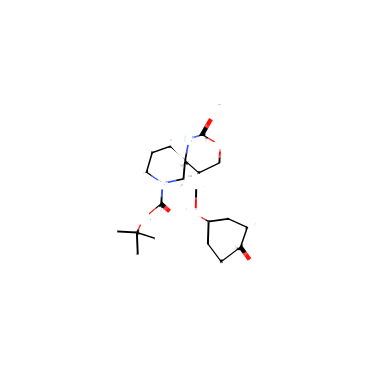 CC(C)(C)OC(=O)N1CCC[C@@]2(CCOC(=O)N2)[C@@H]1COC1CCC(=O)CC1